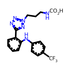 O=C(O)NCCCn1nnc(-c2ccccc2Nc2ccc(C(F)(F)F)cc2)n1